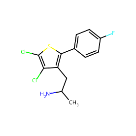 CC(N)Cc1c(-c2ccc(F)cc2)sc(Cl)c1Cl